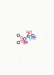 CCOC(=O)c1cc(-c2cc(OCc3ccccc3)c(OCc3ccccc3)c([N+](=O)[O-])c2)n(C)c1-c1ccc[n+]([O-])c1C(F)(F)F